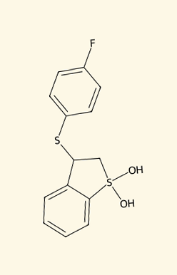 OS1(O)CC(Sc2ccc(F)cc2)c2ccccc21